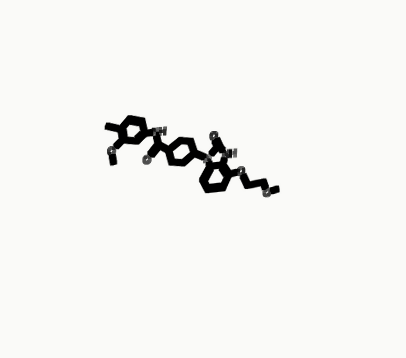 COCCOc1cccc2c1[nH]c(=O)n2C1CCC(C(=O)Nc2ccc(C)c(OC)c2)CC1